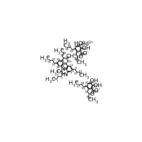 CCCCC(=Nc1cc(CCCC)cc(CCCC)c1)C(C)=Nc1cc(CCCC)cc(CCCC)c1.CCCCc1cc(O)c(O)c(C(=O)[O-])c1CCCC.CCCCc1cc(O)c(O)c(C(=O)[O-])c1CCCC.[Pd+2]